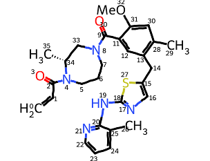 C=CC(=O)N1CCCN(C(=O)c2cc(Cc3cnc(Nc4ncccc4C)s3)c(C)cc2OC)C[C@H]1C